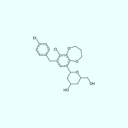 CCc1ccc(Cc2cc(C3CC(O)CC(CO)O3)c3c(c2Cl)OCCCO3)cc1